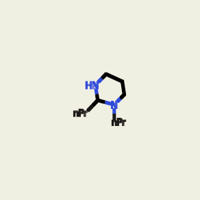 CCCC1NCCCN1CCC